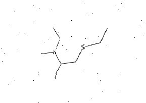 CCSCC(C)N(C)CC